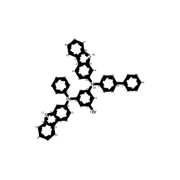 Brc1cc(N(c2ccccc2)c2ccc3c(c2)sc2ccccc23)cc(N(c2ccc(-c3ccccc3)cc2)c2ccc3c(c2)sc2ccccc23)c1